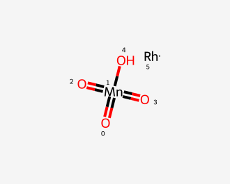 [O]=[Mn](=[O])(=[O])[OH].[Rh]